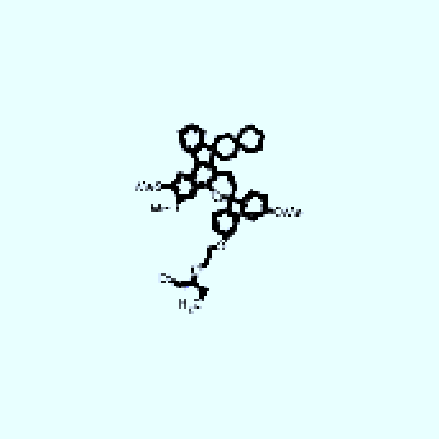 C=C/C(=C/CC)OCCOc1ccc(C2(c3ccc(OC)cc3)C=Cc3c4c(c5cc(SC)c(OC)cc5c3O2)-c2ccccc2C42CCC3(CCCCC3)CC2)cc1